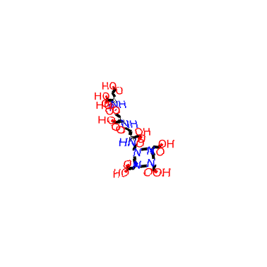 O=C(O)CC[C@H](NP(=O)(O)OCC[C@H](NC(=O)CC[C@@H](NC(=O)CN1CCN(CC(=O)O)CCN(CC(=O)O)CCN(CC(=O)O)CC1)C(=O)O)C(=O)O)C(=O)O